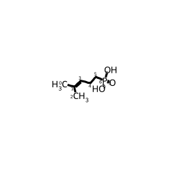 CC(C)=CCCP(=O)(O)O